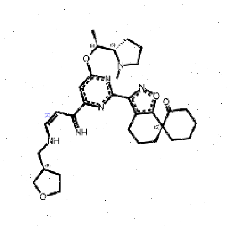 C[C@H](Oc1cc(C(=N)/C=C\NC[C@H]2CCOC2)nc(-c2noc3c2CCC[C@@]32CCCCC2=O)n1)[C@@H]1CCCN1C